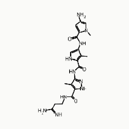 Cc1c(NC(=O)c2cc(N)cn2C)c[nH]c1C(=O)Nc1n[nH]c(C(=O)NCCC(=N)N)c1C